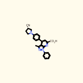 Cc1nn(-c2ccccc2)c2nc(C(=O)O)cc(-c3ccc(N4CC[C@H](C#N)C4)cc3)c12